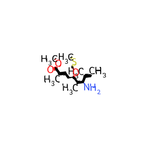 C/C=C(\C)[C@@H](N)[C@@H](C)[C@@H](C/C=C(\C)C(=O)OC)OCSC